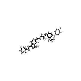 CN1CCN(Cc2ccc(NC(=O)CCSc3ccc4c(C=Cc5ccccn5)n[nH]c4c3)cc2C(F)(F)F)CC1